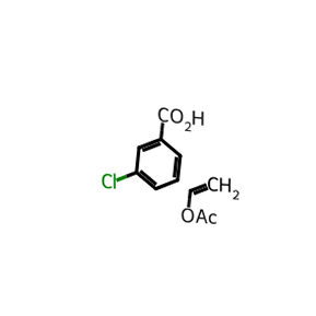 C=COC(C)=O.O=C(O)c1cccc(Cl)c1